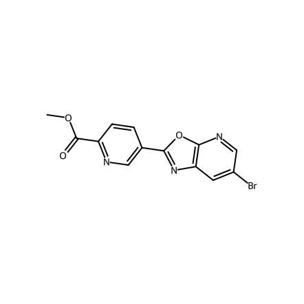 COC(=O)c1ccc(-c2nc3cc(Br)cnc3o2)cn1